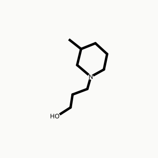 CC1CCCN(CCCO)C1